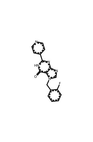 O=c1[nH]c(-c2ccncc2)nc2ncn(Cc3ccccc3F)c12